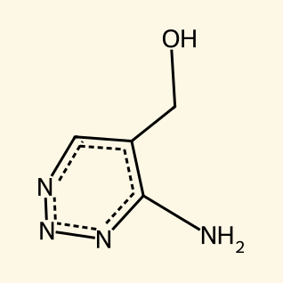 Nc1nnncc1CO